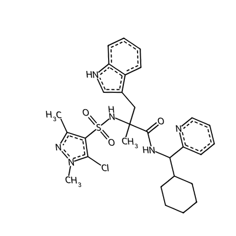 Cc1nn(C)c(Cl)c1S(=O)(=O)NC(C)(Cc1c[nH]c2ccccc12)C(=O)NC(c1ccccn1)C1CCCCC1